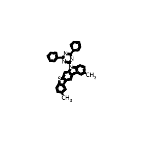 Cc1ccc2sc3cc4c(cc3c2c1)c1cc(C)ccc1n4-c1nc(-c2ccccc2)nc(-c2ccccc2)n1